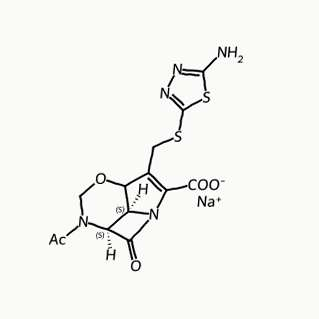 CC(=O)N1COC2C(CSc3nnc(N)s3)=C(C(=O)[O-])N3C(=O)[C@@H]1[C@@H]23.[Na+]